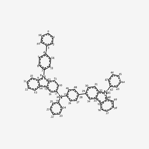 c1ccc(-c2ccc(-n3c4ccccc4c4cc(N(c5ccccc5)c5ccc(-c6ccc7c(c6)c6ccccc6n7-c6ccccc6)cc5)ccc43)cc2)cc1